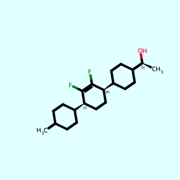 CC1CCC([C@@H]2CC[C@H](C3CCC([C@H](C)O)CC3)C(F)=C2F)CC1